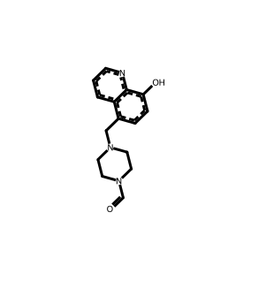 O=CN1CCN(Cc2ccc(O)c3ncccc23)CC1